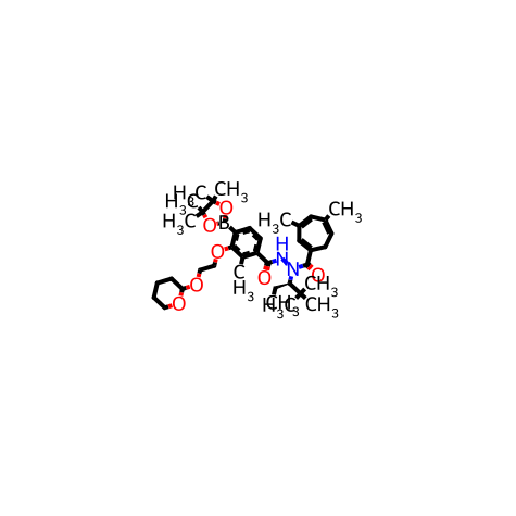 CC[C@@H](N(NC(=O)c1ccc(B2OC(C)(C)C(C)(C)O2)c(OCCOC2CCCCO2)c1C)C(=O)C1=CC(C)=CC(C)=CC1)C(C)(C)C